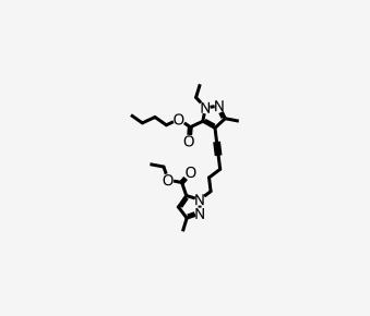 CCCCOC(=O)c1c(C#CCCCn2nc(C)cc2C(=O)OCC)c(C)nn1CC